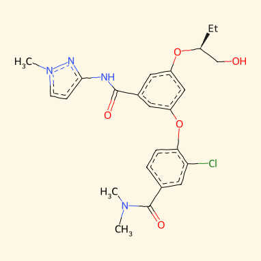 CC[C@@H](CO)Oc1cc(Oc2ccc(C(=O)N(C)C)cc2Cl)cc(C(=O)Nc2ccn(C)n2)c1